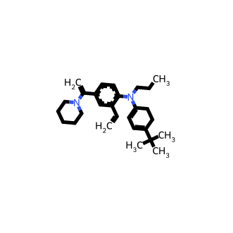 C=Cc1cc(C(=C)N2CCCCC2)ccc1N(CCC)C1=CC=C(C(C)(C)C)CC1